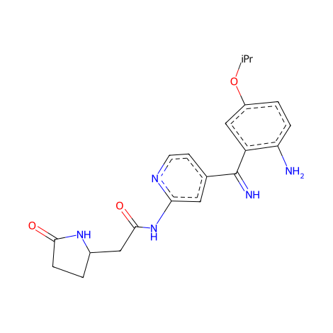 CC(C)Oc1ccc(N)c(C(=N)c2ccnc(NC(=O)CC3CCC(=O)N3)c2)c1